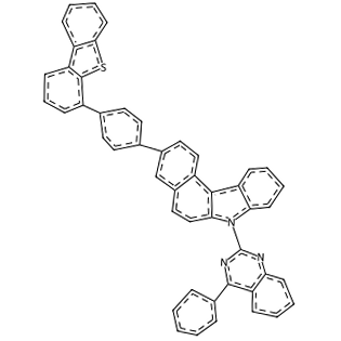 c1ccc(-c2nc(-n3c4ccccc4c4c5ccc(-c6ccc(-c7cccc8c7sc7ccccc78)cc6)cc5ccc43)nc3ccccc23)cc1